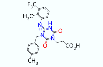 Cc1ccc(Cn2c(=O)n(CCC(=O)O)c(=O)[nH]/c2=N\c2cccc(C(F)(F)F)c2C)cc1